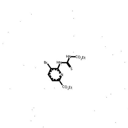 CCOC(=O)NC(=S)Nc1nc(C(=O)OCC)ccc1Br